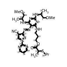 COCC(C)Nc1nc(NCCCOC(=O)C(C)SC(C)C)c(N=Nc2nn(-c3ncccn3)cc2C#N)c(NC(C)COC)n1